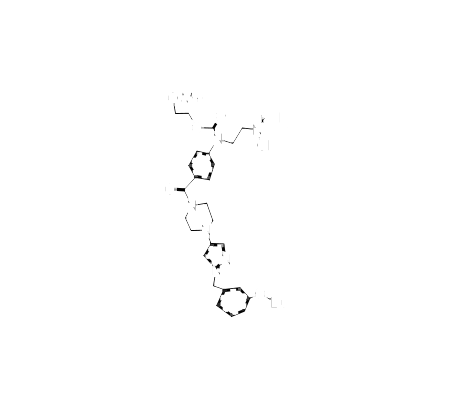 CCOc1cccc(Cn2cc(N3CCN(C(=O)c4ccc(N(CCN(C)C)C(=O)OCCOC)cc4)CC3)cn2)c1